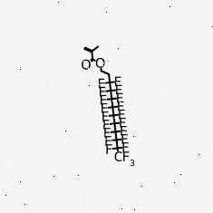 C=C(C)C(=O)OCCC(F)(F)C(F)(F)C(F)(F)C(F)(F)C(F)(F)C(F)(F)C(F)(F)C(F)(F)C(F)(F)C(F)(F)F